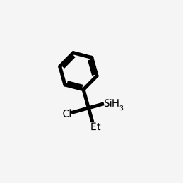 CCC([SiH3])(Cl)c1ccccc1